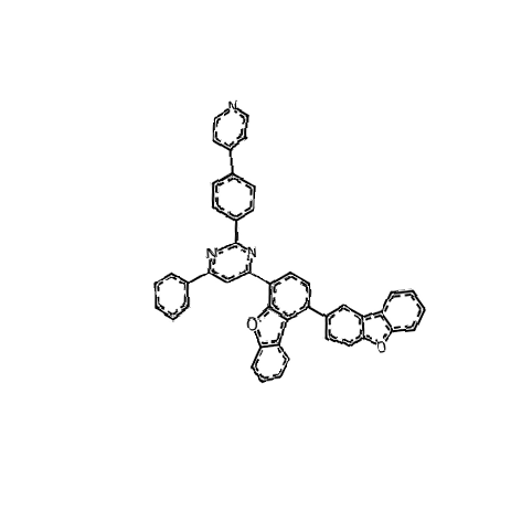 c1ccc(-c2cc(-c3ccc(-c4ccc5oc6ccccc6c5c4)c4c3oc3ccccc34)nc(-c3ccc(-c4ccncc4)cc3)n2)cc1